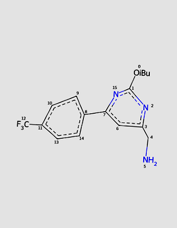 CC(C)COc1nc(CN)cc(-c2ccc(C(F)(F)F)cc2)n1